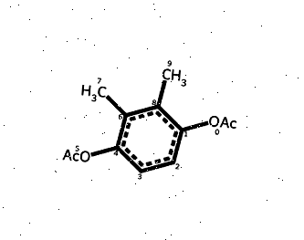 CC(=O)Oc1ccc(OC(C)=O)c(C)c1C